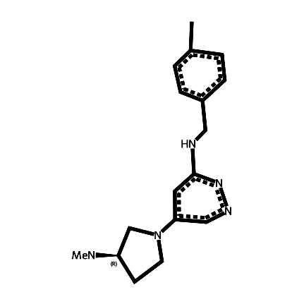 CN[C@@H]1CCN(c2cnnc(NCc3ccc(C)cc3)c2)C1